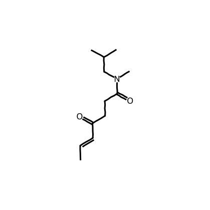 C/C=C/C(=O)CCC(=O)N(C)CC(C)C